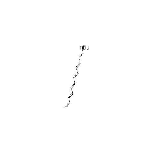 [CH]=C/C=C/C=C/C=C/C=C/C=C/CCCC